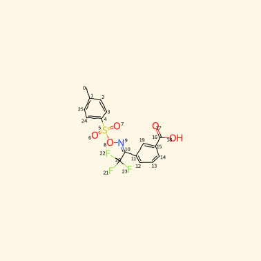 Cc1ccc(S(=O)(=O)ON=C(c2cccc(C(=O)O)c2)C(F)(F)F)cc1